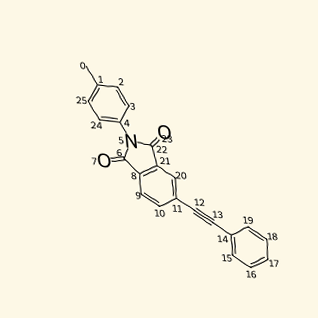 Cc1ccc(N2C(=O)c3ccc(C#Cc4ccccc4)cc3C2=O)cc1